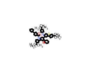 CC(C)(C)c1ccc(N2B3c4oc5cc(-c6ccccc6)ccc5c4-n4c5ccc(C(C)(C)C)cc5c5c6oc7ccccc7c6c(c3c54)-c3cc4c(cc32)sc2cc(C(C)(C)C)ccc24)cc1